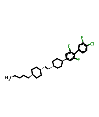 CCCCC[C@H]1CC[C@H](CC[C@H]2CC[C@H](c3cc(F)c(-c4ccc(Cl)c(F)c4)c(F)c3)CC2)CC1